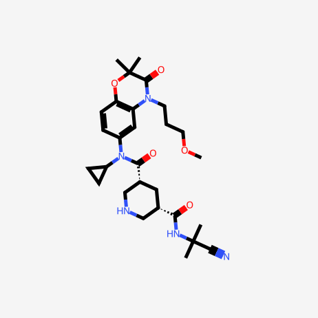 COCCCN1C(=O)C(C)(C)Oc2ccc(N(C(=O)[C@H]3CNC[C@@H](C(=O)NC(C)(C)C#N)C3)C3CC3)cc21